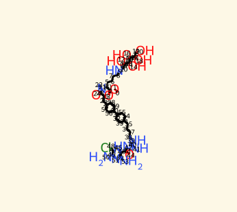 COC(=O)[C@H](CCCCNC[C@H](O)[C@@H](O)[C@H](O)[C@H](O)CO)N(C)C(=O)CCc1ccc(-c2ccc(CCCCNC(=N)NC(=O)c3nc(Cl)c(N)nc3N)cc2)cc1